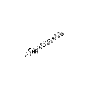 CCCC(=O)NCCOCCOCCOCCOCCC=O